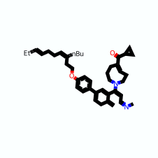 C=C1CC=C(c2ccc(OCC/C(=C\CC/C=C/CC)CCCC)cc2)C=C1/C(=C\C=N/C)N1CC/C=C(\C(=O)C2CC2)CCC1